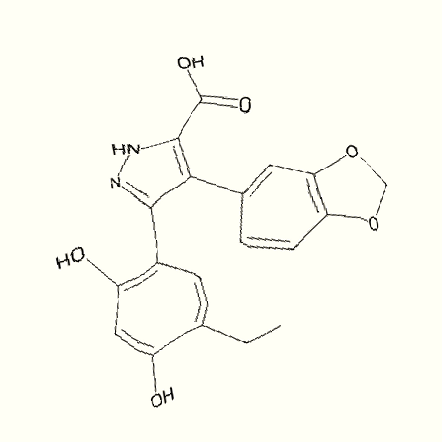 CCc1cc(-c2n[nH]c(C(=O)O)c2-c2ccc3c(c2)OCO3)c(O)cc1O